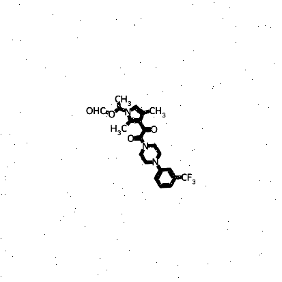 Cc1cn(C(C)OC=O)c(C)c1C(=O)C(=O)N1CCN(c2cccc(C(F)(F)F)c2)CC1